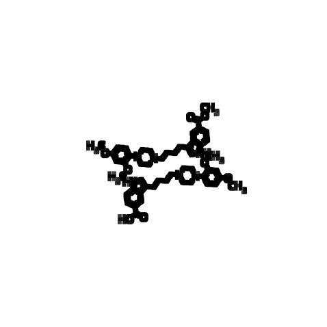 COC(=O)c1ccc2[nH]cc(CCCCN3CCN(c4ccc(OC)cc4OC)CC3)c2c1.COc1ccc(N2CCN(CCCCc3c[nH]c4ccc(C(=O)O)cc34)CC2)c(OC)c1